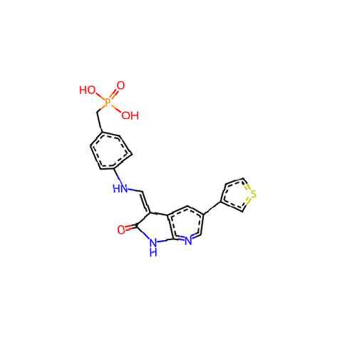 O=C1Nc2ncc(-c3ccsc3)cc2/C1=C/Nc1ccc(CP(=O)(O)O)cc1